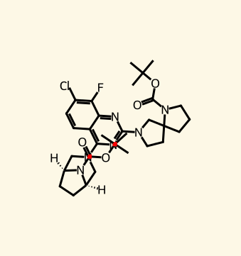 CC(C)(C)OC(=O)N1[C@@H]2CC[C@H]1CN(c1nc(N3CCC4(CCCN4C(=O)OC(C)(C)C)C3)nc3c(F)c(Cl)ccc13)C2